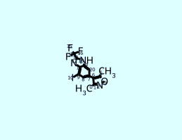 Cc1noc(C)c1-c1cc(I)c2nc(C(F)(F)F)[nH]c2c1